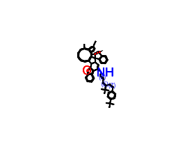 Cc1ccc2c3c(cccccc(C)c2c1)C1c2oc4ccccc4c2C(N/C=C/C=C(\C=C/c2ccc(C(C)(C)C)cc2)C(C)(C)C)=CC1C31c2ccccc2-c2ccccc21